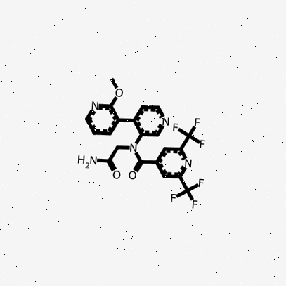 COc1ncccc1-c1ccncc1N(CC(N)=O)C(=O)c1cc(C(F)(F)F)nc(C(F)(F)F)c1